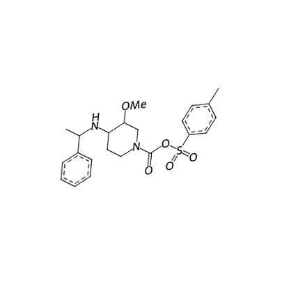 COC1CN(C(=O)OS(=O)(=O)c2ccc(C)cc2)CCC1NC(C)c1ccccc1